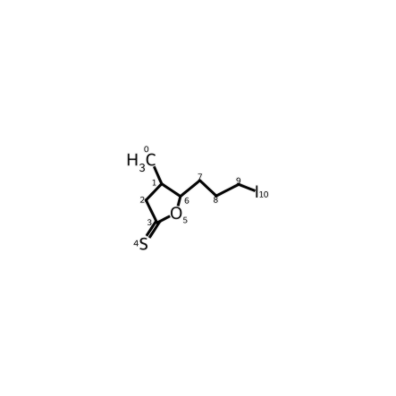 CC1CC(=S)OC1CCCI